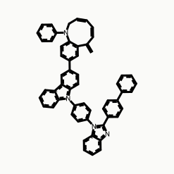 C=C1/C=C\C=C/CN(c2ccccc2)c2ccc(-c3ccc4c(c3)c3ccccc3n4-c3ccc(-n4c(-c5ccc(-c6ccccc6)cc5)nc5ccccc54)cc3)cc21